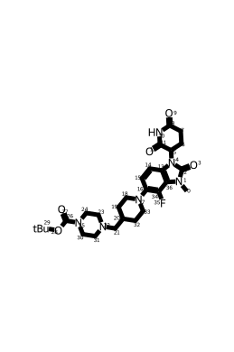 Cn1c(=O)n(C2CCC(=O)NC2=O)c2ccc(N3CCC(CN4CCN(C(=O)OC(C)(C)C)CC4)CC3)c(F)c21